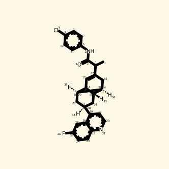 CC(C(=O)Nc1ccc(Cl)cc1)C1=CC2[C@H]3C[C@@H](c4ccnc5ccc(F)cc45)C[C@@H]2[C@H]3C1